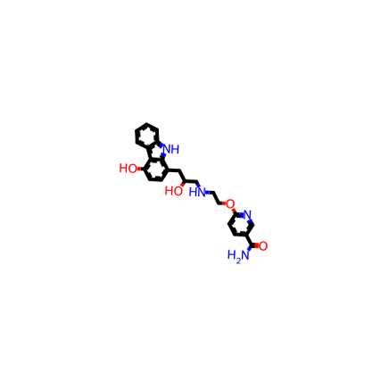 NC(=O)c1ccc(OCCNCC(O)Cc2ccc(O)c3c2[nH]c2ccccc23)nc1